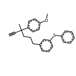 C#CC(C)(CCCc1cccc(Sc2ccccc2)c1)c1ccc(OC)cc1